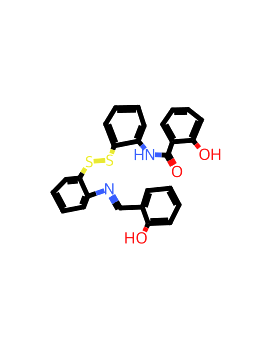 O=C(Nc1ccccc1SSc1ccccc1/N=C/c1ccccc1O)c1ccccc1O